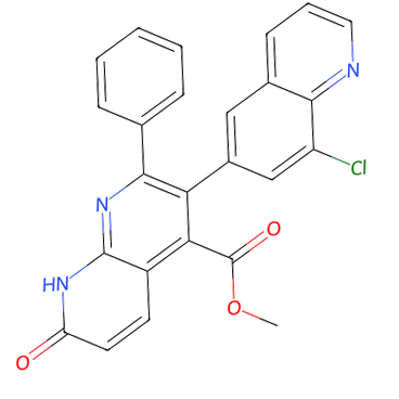 COC(=O)c1c(-c2cc(Cl)c3ncccc3c2)c(-c2ccccc2)nc2[nH]c(=O)ccc12